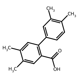 Cc1ccc(-c2cc(C)c(C)cc2C(=O)O)cc1C